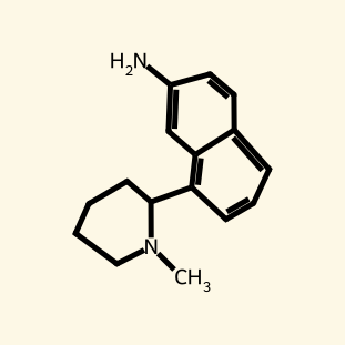 CN1CCCCC1c1cccc2ccc(N)cc12